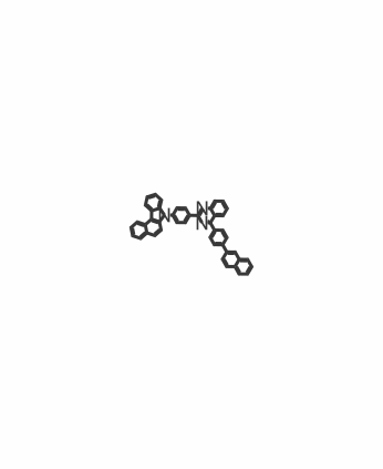 c1ccc2cc(-c3ccc(-c4nc(-c5ccc(-n6c7ccccc7c7c8ccccc8ccc76)cc5)nc5ccccc45)cc3)ccc2c1